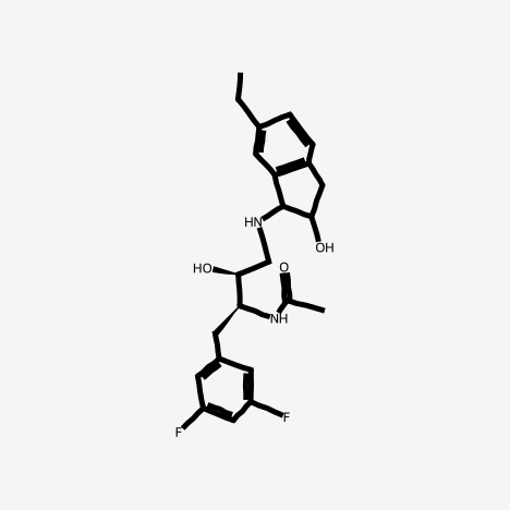 CCc1ccc2c(c1)C(NC[C@H](O)[C@H](Cc1cc(F)cc(F)c1)NC(C)=O)C(O)C2